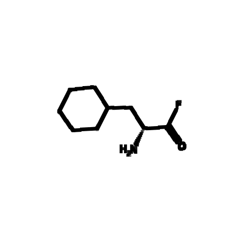 N[C@H](CC1CCCCC1)C(=O)F